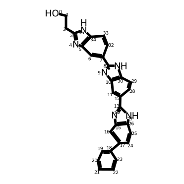 OCCc1nc2cc(-c3nc4cc(-c5nc6cc(-c7ccccc7)ccc6[nH]5)ccc4[nH]3)ccc2[nH]1